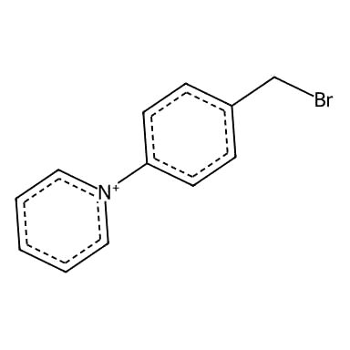 BrCc1ccc(-[n+]2ccccc2)cc1